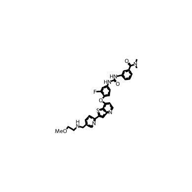 COCCNCc1ccc(-c2cc3nccc(Oc4ccc(NC(=O)Nc5cccc(C(=O)N(C)C)c5)cc4F)c3s2)nc1